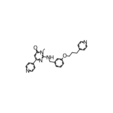 Cn1c(NCc2cccc(OCCCc3ccncc3)c2)nc(-c2ccncc2)cc1=O